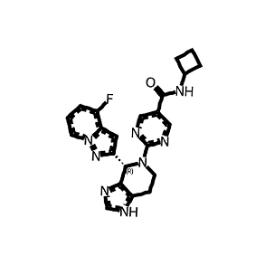 O=C(NC1CCC1)c1cnc(N2CCc3[nH]cnc3[C@@H]2c2cc3c(F)cccn3n2)nc1